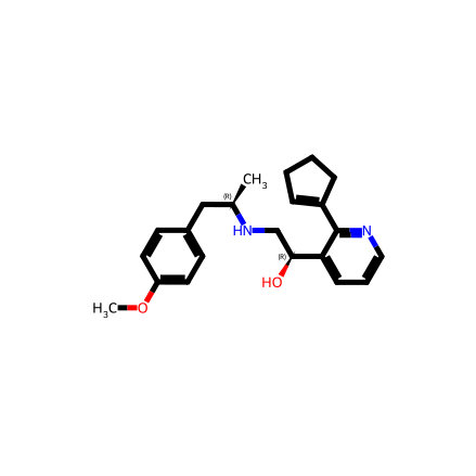 COc1ccc(C[C@@H](C)NC[C@H](O)c2cccnc2C2=CCCC2)cc1